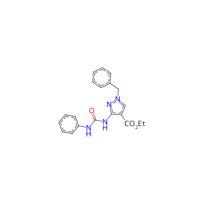 CCOC(=O)c1cn(Cc2ccccc2)nc1NC(=O)Nc1ccccc1